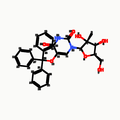 C[C@@]1(O)[C@@H](O)[C@@H](CO)O[C@H]1n1cc(OC(c2ccccc2)(c2ccccc2)c2ccccc2)c(=O)[nH]c1=O